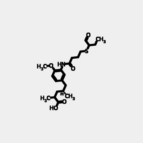 CCC(C=O)SCCCC(=O)Nc1cc(C[C@H](C)CC(C)C(=O)O)ccc1OC